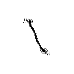 O=C(O)CCCCCCCCCCCCCCCCCCCCCCOC(=O)O